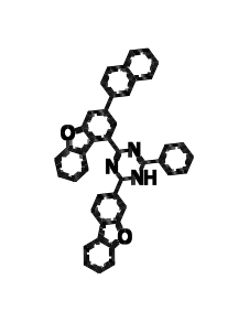 c1ccc(C2=NC(c3cc(-c4ccc5ccccc5c4)cc4oc5ccccc5c34)=NC(c3ccc4c(c3)oc3ccccc34)N2)cc1